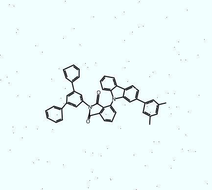 Cc1cc(C)cc(-c2ccc3c4ccccc4n(-c4cccc5c4C(=O)N(c4cc(-c6ccccc6)cc(-c6ccccc6)c4)C5=O)c3c2)c1